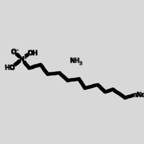 CCCCCCCCCCCCCCCCCCCC[N+]([O-])(O)O.N